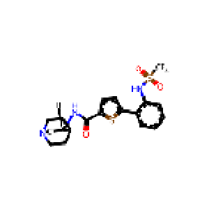 O=C(N[C@H]1CN2CCC1CC2)c1ccc(-c2ccccc2NS(=O)(=O)C(F)(F)F)s1